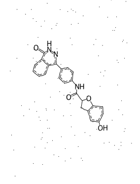 O=C(Nc1ccc(-c2n[nH]c(=O)c3ccccc23)cc1)C1Cc2cc(O)ccc2O1